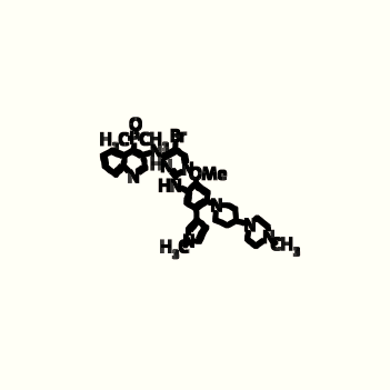 COc1cc(N2CCC(N3CCN(C)CC3)CC2)c(-c2ccn(C)c2)cc1Nc1ncc(Br)c(Nc2cnc3ccccc3c2P(C)(C)=O)n1